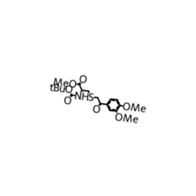 COC(=O)C(CSCC(=O)c1ccc(OC)c(OC)c1)NC(=O)OC(C)(C)C